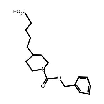 O=C(O)CCCCC1CCN(C(=O)OCc2ccccc2)CC1